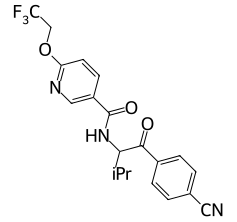 CC(C)C(NC(=O)c1ccc(OCC(F)(F)F)nc1)C(=O)c1ccc(C#N)cc1